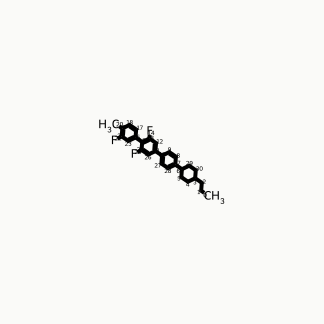 CCCC1CCC(c2ccc(-c3cc(F)c(-c4ccc(C)c(F)c4)c(F)c3)cc2)CC1